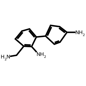 NCc1cccc(-c2ccc(N)cc2)c1N